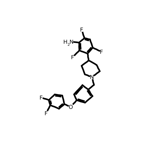 Nc1c(F)cc(F)c(C2CCN(Cc3ccc(Oc4ccc(F)c(F)c4)cc3)CC2)c1F